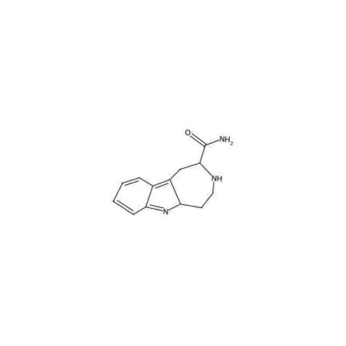 NC(=O)C1CC2=c3ccccc3=NC2CCN1